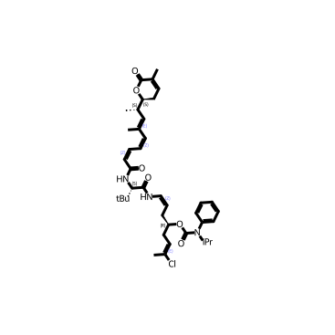 CC1=CC[C@@H]([C@@H](C)/C=C(C)/C=C\C=C/C(=O)N[C@H](C(=O)N/C=C\C[C@H](C/C=C(\C)Cl)OC(=O)N(c2ccccc2)C(C)C)C(C)(C)C)OC1=O